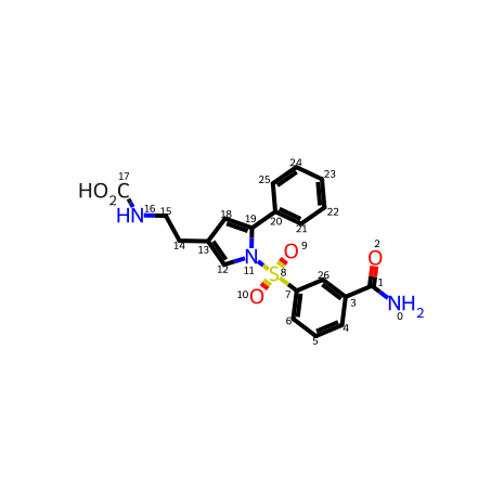 NC(=O)c1cccc(S(=O)(=O)n2cc(CCNC(=O)O)cc2-c2ccccc2)c1